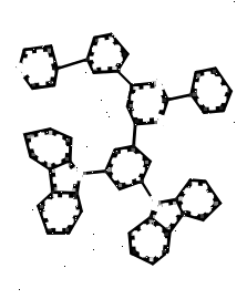 c1ccc(-c2nc(-c3cccc(-c4ccncc4)c3)cc(-c3cc(-n4c5ccccc5c5ccccc54)cc(-n4c5ccccc5c5ccccc54)c3)n2)cc1